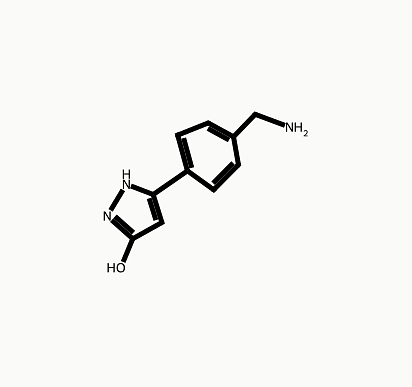 NCc1ccc(-c2cc(O)n[nH]2)cc1